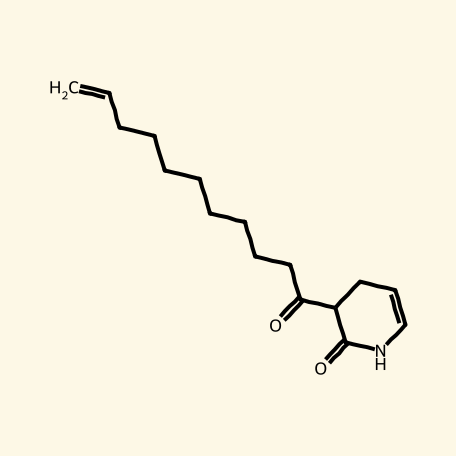 C=CCCCCCCCCC(=O)C1CC=CNC1=O